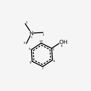 CN(C)C.Oc1ccccc1